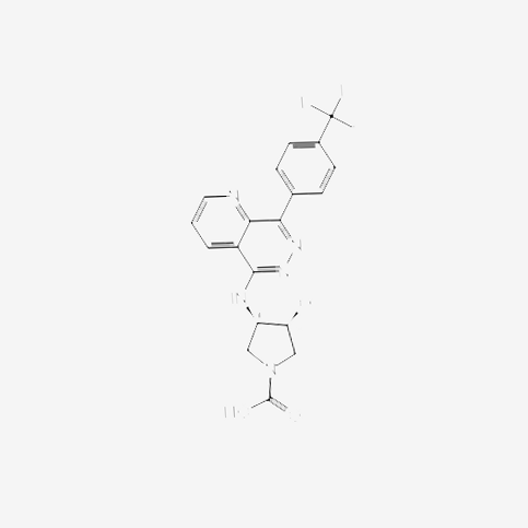 O=C(O)N1C[C@H](O)[C@H](Nc2nnc(-c3ccc(C(F)(F)F)cc3)c3ncccc23)C1